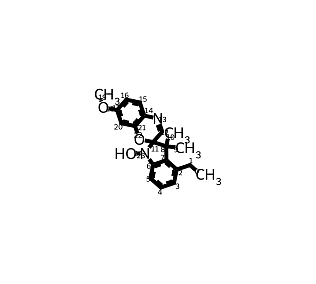 CCc1cccc2c1C(C)(C)C1(C=Nc3ccc(OC)cc3O1)N2O